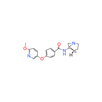 COc1ccc(Oc2ccc(C(=O)NC3CN4CC[C@H]3C4)cc2)cn1